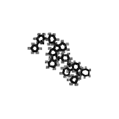 IC12CCCCC1c1ccc3c(c4c(n3-c3cccc(-n5c6ccccc6c6ccc7c(c8ccccc8n7-c7cccc(-c8cccc(-c9ccccc9)n8)c7)c65)c3)C=CCC4)c1N2c1ccccc1